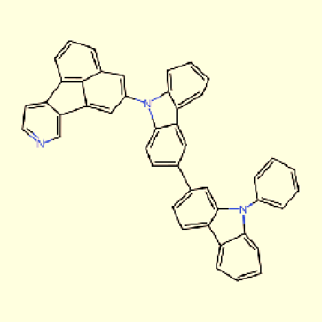 c1ccc(-n2c3ccccc3c3ccc(-c4ccc5c(c4)c4ccccc4n5-c4cc5c6c(cccc6c4)-c4ccncc4-5)cc32)cc1